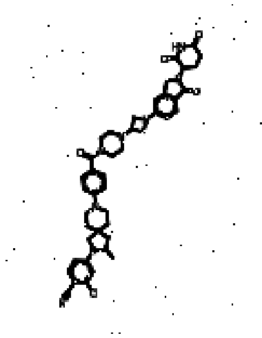 CC1CC2(CCN(c3ccc(C(=O)N4CCN(C5CN(c6ccc7c(c6)CN(C6CCC(=O)NC6=O)C7=O)C5)CC4)cc3)CC2)CN1c1ccc(C#N)c(Cl)c1